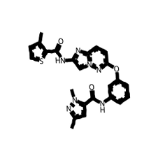 Cc1cc(C(=O)Nc2cccc(Oc3ccc4nc(NC(=O)c5sccc5C)cn4n3)c2)n(C)n1